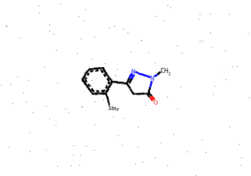 CSc1ccccc1C1=NN(C)C(=O)C1